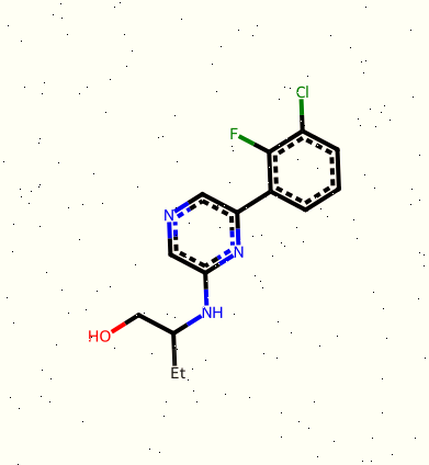 CCC(CO)Nc1cncc(-c2cccc(Cl)c2F)n1